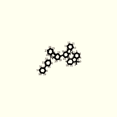 CC1(C)c2cccc(-n3c4ccccc4c4cc(-c5ccc6c(c5)c5ccccc5n6-c5ccc(-c6ccccc6)cc5)ccc43)c2C2C=CC=CC21